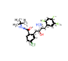 CC(C)(C)NC(=O)c1ccc(Cl)cc1C[C@H](O)[C@H](N)Cc1cc(F)c(F)cc1F